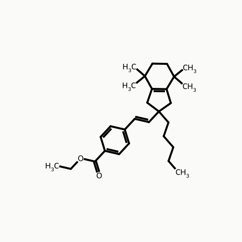 CCCCCC1(C=Cc2ccc(C(=O)OCC)cc2)CC2=C(C1)C(C)(C)CCC2(C)C